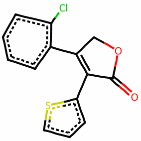 O=C1OCC(c2ccccc2Cl)=C1c1cccs1